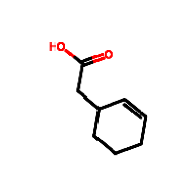 O=C(O)CC1C=CCCC1